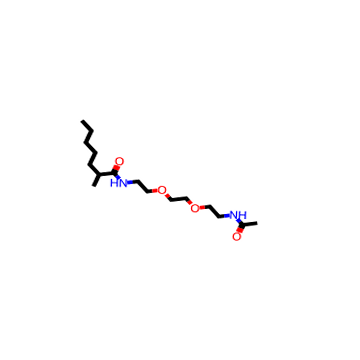 CCCCCC(C)C(=O)NCCOCCOCCNC(C)=O